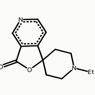 CCN1CCC2(CC1)OC(=O)c1cnccc12